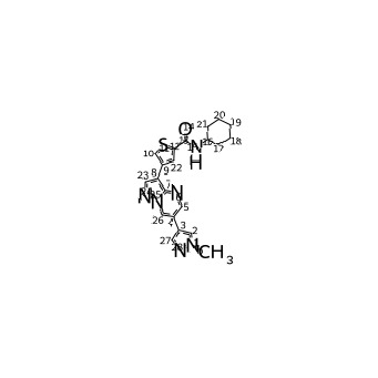 Cn1cc(-c2cnc3c(-c4csc(C(=O)NC5CCCCC5)c4)cnn3c2)cn1